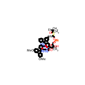 CCC(C)(C)C(=O)SCCO[PH](=O)OC[C@H]1O[C@@H](c2cnc3c(NC(c4ccccc4)(c4ccc(OC)cc4)c4ccc(OC)cc4)nc(NC(c4ccccc4)(c4ccc(OC)cc4)c4ccc(OC)cc4)nn23)[C@](C)(O)[C@@H]1O